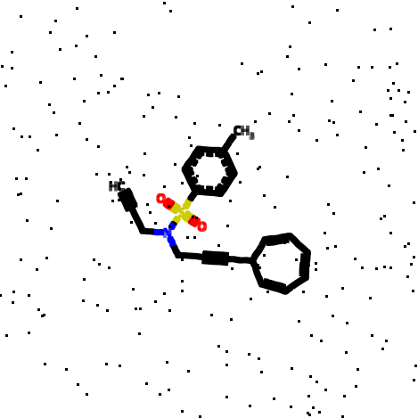 C#CCN(CC#CC1C=CC=CC=C1)S(=O)(=O)c1ccc(C)cc1